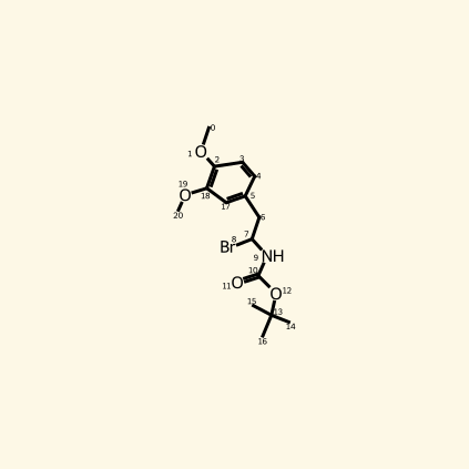 COc1ccc(CC(Br)NC(=O)OC(C)(C)C)cc1OC